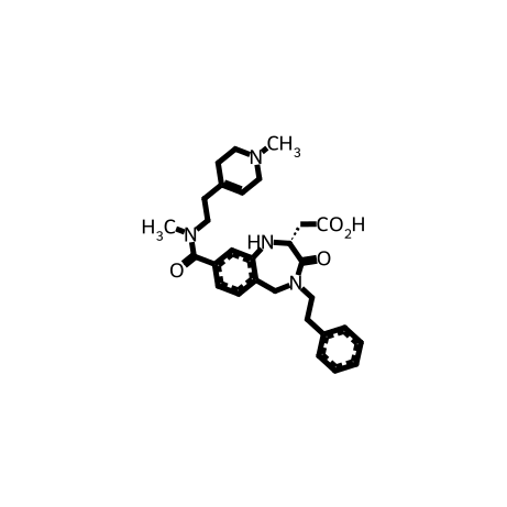 CN1CC=C(CCN(C)C(=O)c2ccc3c(c2)N[C@H](CC(=O)O)C(=O)N(CCc2ccccc2)C3)CC1